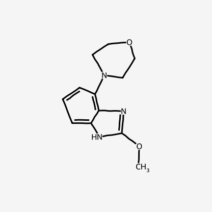 COc1nc2c(N3CCOCC3)cccc2[nH]1